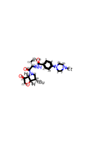 CCN1CCN(c2ccc(C(=O)N[C@@H](CC(C)C)C(=O)N3C[C@H](C(C)(C)C)[C@H]4OCC(=O)[C@H]43)cc2)CC1